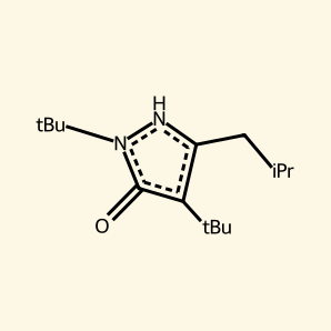 CC(C)Cc1[nH]n(C(C)(C)C)c(=O)c1C(C)(C)C